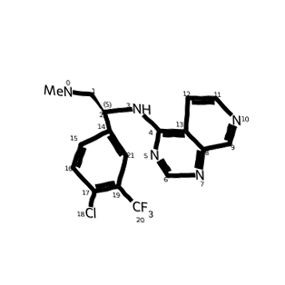 CNC[C@@H](Nc1ncnc2cnccc12)c1ccc(Cl)c(C(F)(F)F)c1